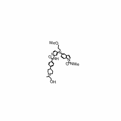 CNC(=O)n1ccc2cc(N(CCCOC)c3ccnc(NC(=O)c4ccc(C5CCN(C(C)CO)CC5)cc4)c3)ccc21